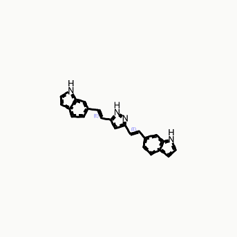 C(=C\c1cc(/C=C/c2ccc3cc[nH]c3c2)[nH]n1)/c1ccc2cc[nH]c2c1